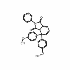 N#COc1ccc(C2(c3ccc(OC#N)cc3)C=CC=C3C(=O)N(c4ccccc4)C(=O)C32)cc1